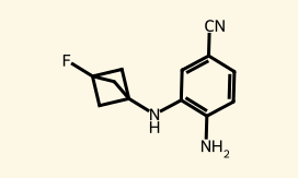 N#Cc1ccc(N)c(NC23CC(F)(C2)C3)c1